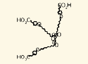 O=C(O)C=Cc1ccc(OCCCCCCCCCC(=O)OCC(COC(=O)CCCCCCCCCOc2ccc(C=CC(=O)O)cc2)OC(=O)CCCCCCCCCOc2ccc(C=CC(=O)O)cc2)cc1